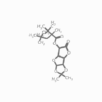 CC(C)(C)CC(C)(C(=O)OC1C(=O)OC2C3OC(C)(C)OC3OC12)C(C)(C)C